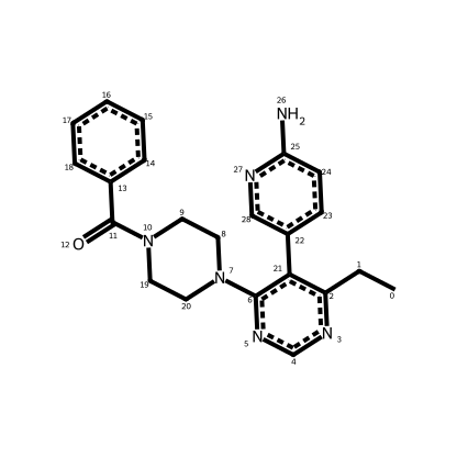 CCc1ncnc(N2CCN(C(=O)c3ccccc3)CC2)c1-c1ccc(N)nc1